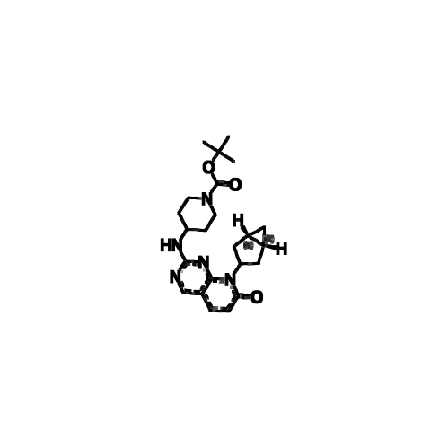 CC(C)(C)OC(=O)N1CCC(Nc2ncc3ccc(=O)n(C4C[C@@H]5C[C@@H]5C4)c3n2)CC1